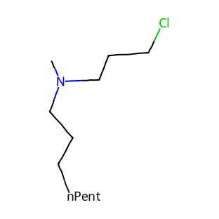 CCCCCCCCN(C)CCCCl